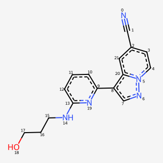 N#Cc1ccn2ncc(-c3cccc(NCCCO)n3)c2c1